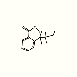 CCC(C)(C)C1(C)OOC(=O)c2ccccc21